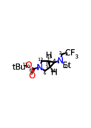 CCN(CC(F)(F)F)C1[C@H]2CN(C(=O)OC(C)(C)C)C[C@@H]12